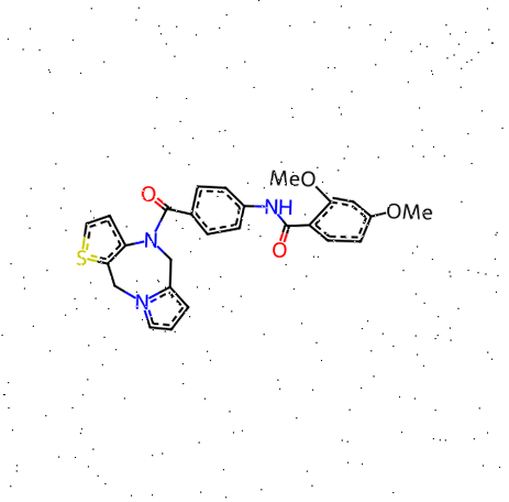 COc1ccc(C(=O)Nc2ccc(C(=O)N3Cc4cccn4Cc4sccc43)cc2)c(OC)c1